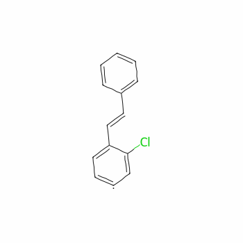 Clc1c[c]ccc1C=Cc1ccccc1